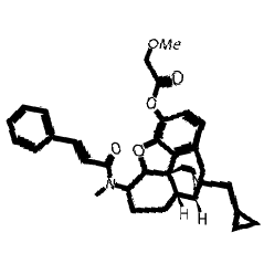 COCC(=O)Oc1ccc2c3c1OC1C(N(C)C(=O)/C=C/c4ccccc4)CC[C@H]4[C@@H](C2)N(CC2CC2)CC[C@]314